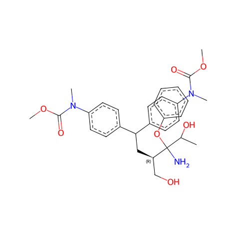 COC(=O)N(C)c1ccc(C(C[C@H](CO)C(N)(Oc2ccccc2)C(C)O)c2ccc(N(C)C(=O)OC)cc2)cc1